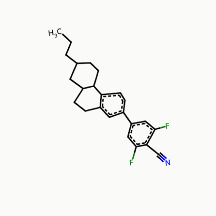 CCCC1CCC2c3ccc(-c4cc(F)c(C#N)c(F)c4)cc3CCC2C1